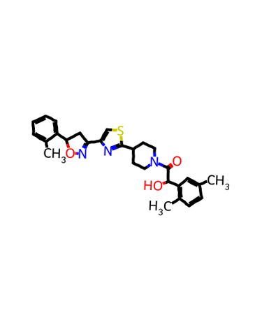 Cc1ccc(C)c(C(O)C(=O)N2CCC(c3nc(C4=NOC(c5ccccc5C)C4)cs3)CC2)c1